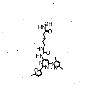 Cc1cc(C)n(-c2cc(NC(=O)NCCCCC(=O)NO)nc(-c3ccc(C)o3)n2)n1